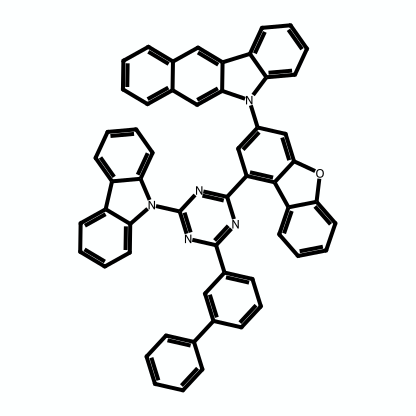 c1ccc(-c2cccc(-c3nc(-c4cc(-n5c6ccccc6c6cc7ccccc7cc65)cc5oc6ccccc6c45)nc(-n4c5ccccc5c5ccccc54)n3)c2)cc1